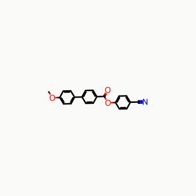 COc1ccc(-c2ccc(C(=O)Oc3ccc(C#N)cc3)cc2)cc1